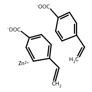 C=Cc1ccc(C(=O)[O-])cc1.C=Cc1ccc(C(=O)[O-])cc1.[Zn+2]